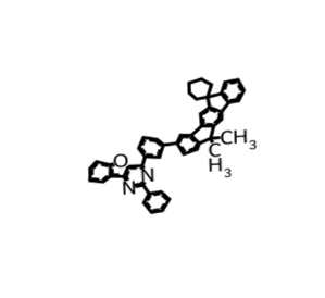 CC1(C)c2ccc(-c3cccc(-c4nc(-c5ccccc5)nc5c4oc4ccccc45)c3)cc2-c2cc3c(cc21)-c1ccccc1C31CCCCC1